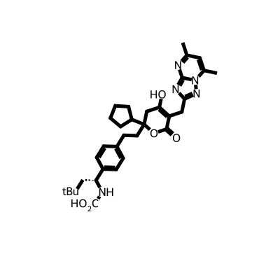 Cc1cc(C)n2nc(CC3=C(O)CC(CCc4ccc([C@@H](CC(C)(C)C)NC(=O)O)cc4)(C4CCCC4)OC3=O)nc2n1